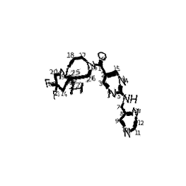 O=C(c1cnc(NCc2cnccn2)nc1)N1CCN2CC(F)(F)C[C@H]2C1